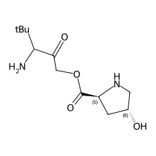 CC(C)(C)C(N)C(=O)COC(=O)[C@@H]1C[C@@H](O)CN1